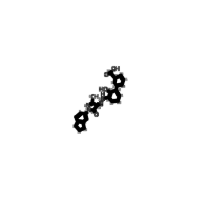 CC1=NN(c2ccc3c(c2)CCC3)C(=O)/C1=N/Nc1cccc(-c2cccc(C(=O)O)c2)c1O